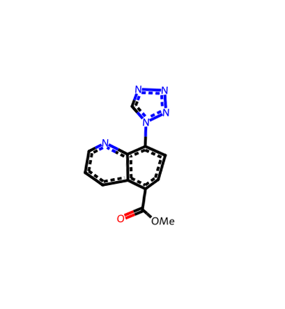 COC(=O)c1ccc(-n2cnnn2)c2ncccc12